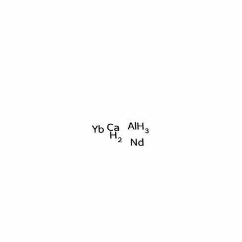 [AlH3].[CaH2].[Nd].[Yb]